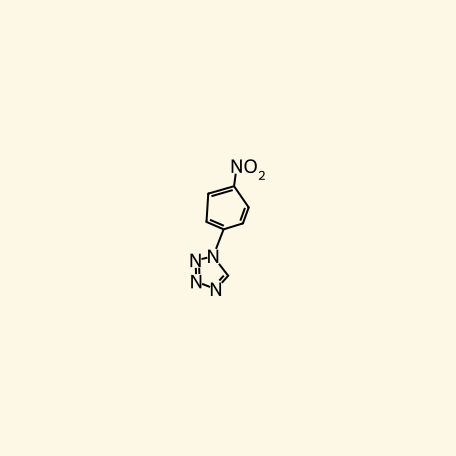 O=[N+]([O-])c1ccc(-n2cnnn2)cc1